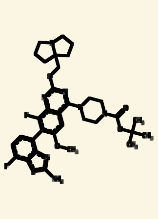 COc1cc2c(N3CCN(C(=O)OC(C)(C)C)CC3)nc(OCC34CCCN3CCC4)nc2c(F)c1-c1ccc(F)c2sc(N)nc12